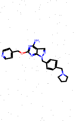 Nc1nc(OCc2ccncc2)nc2c1cnn2Cc1ccc(CN2CCCC2)cc1